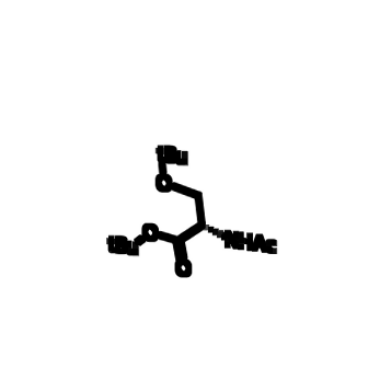 CC(=O)N[C@@H](COC(C)(C)C)C(=O)OC(C)(C)C